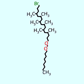 CCCCCCCCCOCOCCCC(C)CC(C)CC(C)CC(C)CC(C)CC(C)CCCBr